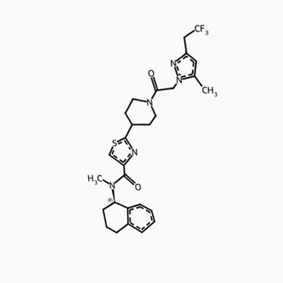 Cc1cc(CC(F)(F)F)nn1CC(=O)N1CCC(c2nc(C(=O)N(C)[C@@H]3CCCc4ccccc43)cs2)CC1